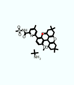 CC(C)(C)N.COc1ccc(-c2cc(C)cc(C(=O)NS(C)(=O)=O)n2)c(C)c1C1C2=C(CC(C)(C)CC2=O)OC2=C1C(=O)CC(C)(C)C2